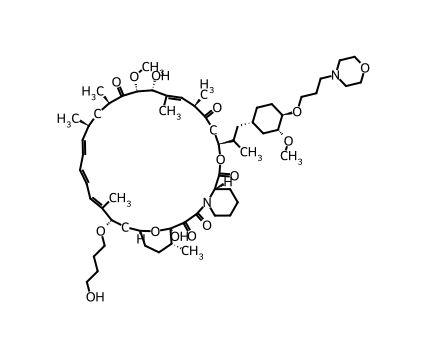 CO[C@@H]1C[C@H](CC(C)[C@@H]2CC(=O)[C@H](C)/C=C(\C)[C@@H](O)[C@@H](OC)C(=O)[C@H](C)C[C@H](C)/C=C/C=C/C=C(\C)[C@@H](OCCCCO)C[C@@H]3CC[C@@H](C)[C@@](O)(O3)C(=O)C(=O)N3CCCC[C@H]3C(=O)O2)CC[C@H]1OCCCN1CCOCC1